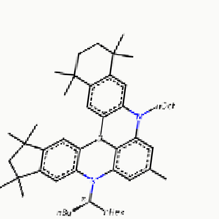 CCCCCCCCN1c2cc3c(cc2B2c4cc5c(cc4N([C@H](CCCC)CCCCCC)c4cc(C)cc1c42)C(C)(C)CC5(C)C)C(C)(C)CCC3(C)C